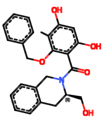 Cc1c(O)cc(O)c(C(=O)N2Cc3ccccc3C[C@@H]2CO)c1OCc1ccccc1